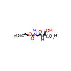 CCCCCCCCCCCCOC(=O)NCC(=O)N[C@@H](CO)C(=O)O